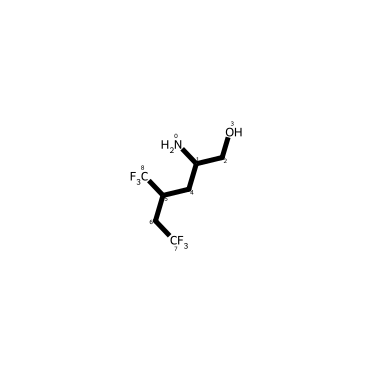 NC(CO)CC(CC(F)(F)F)C(F)(F)F